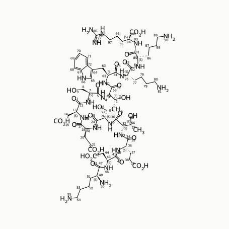 C[C@@H](O)[C@H](NC(=O)[C@H](CO)NC(=O)[C@H](CC(=O)O)NC(=O)[C@H](CCC(=O)O)NC(=O)[C@H](CO)NC(=O)[C@@H](NC(=O)[C@H](CCC(=O)O)NC(=O)[C@H](CC(=O)O)NC(=O)[C@@H](N)CCCCN)[C@@H](C)O)C(=O)N[C@@H](Cc1c[nH]c2ccccc12)C(=O)N[C@@H](CCCCN)C(=O)N[C@@H](CCCCN)C(=O)N[C@@H](CCCNC(=N)N)C(=O)O